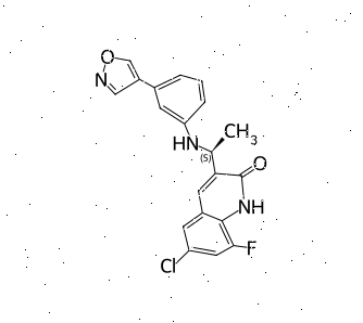 C[C@H](Nc1cccc(-c2cnoc2)c1)c1cc2cc(Cl)cc(F)c2[nH]c1=O